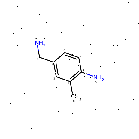 Cc1cc(CN)ccc1N